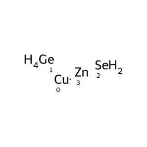 [Cu].[GeH4].[SeH2].[Zn]